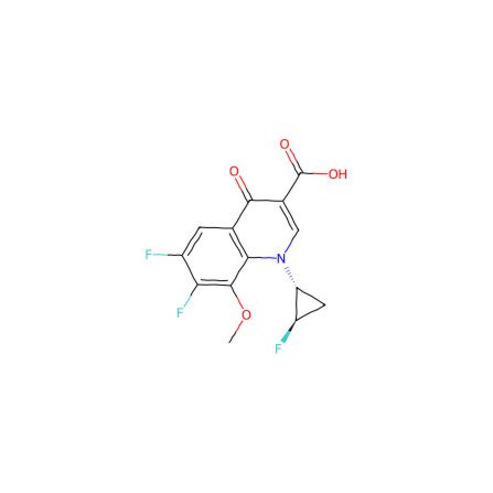 COc1c(F)c(F)cc2c(=O)c(C(=O)O)cn([C@@H]3C[C@H]3F)c12